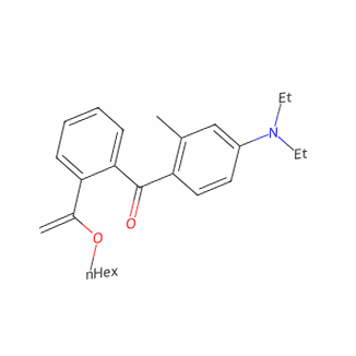 C=C(OCCCCCC)c1ccccc1C(=O)c1ccc(N(CC)CC)cc1C